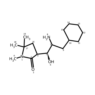 CN1C(=O)C([C@H](O)C(N)CC2CCCCC2)CC1(C)C